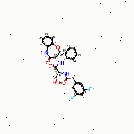 O=C(Cc1cc(F)cc(F)c1)N[C@@H](CO)C(=O)N[C@@H]1C(=O)Nc2ccccc2O[C@@H]1c1ccccc1